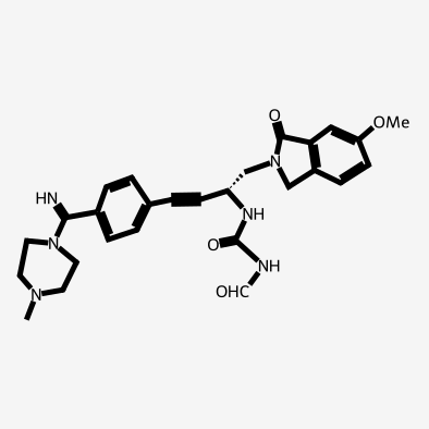 COc1ccc2c(c1)C(=O)N(C[C@@H](C#Cc1ccc(C(=N)N3CCN(C)CC3)cc1)NC(=O)NC=O)C2